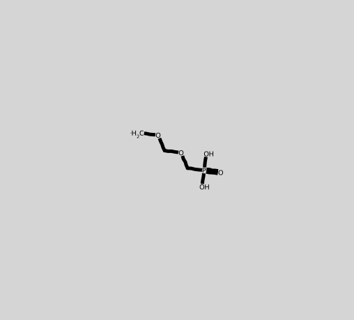 [CH2]OCOCP(=O)(O)O